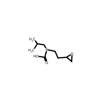 CC(C)CN(CCC1CO1)C(=O)O